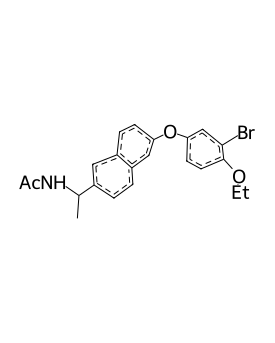 CCOc1ccc(Oc2ccc3cc(C(C)NC(C)=O)ccc3c2)cc1Br